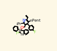 C=Cc1nc(C(C)C)c(CO[Si](c2ccccc2)(c2ccccc2)C(F)CCC)c(-c2ccc(F)cc2)c1CCCCC